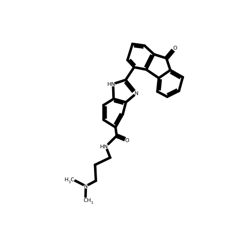 CN(C)CCCNC(=O)c1ccc2[nH]c(-c3cccc4c3-c3ccccc3C4=O)nc2c1